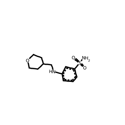 NS(=O)(=O)c1cccc(NCC2CCOCC2)c1